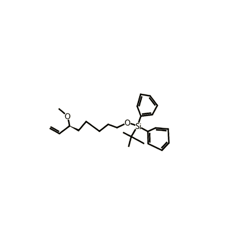 C=C[C@H](CCCCCO[Si](c1ccccc1)(c1ccccc1)C(C)(C)C)OC